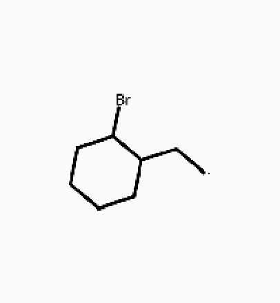 [CH2]CC1CCCCC1Br